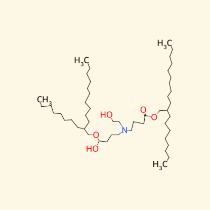 CCCCCCCCCCC(CCCCCCCC)COC(=O)CCCN(CCO)CCCC(O)OCC(CCCCCCCC)CCCCCCCCCC